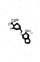 COC(=O)c1ccc(COc2cc3c(cc2N)CCC3)cc1F